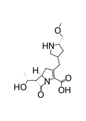 COC[C@@H]1CC(CC2=C(C(=O)O)N3C(=O)[C@H]([C@@H](C)O)[C@H]3C2)CN1